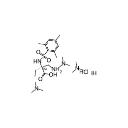 CC[C@@](CN)(NS(=O)(=O)c1c(C)cc(C)cc1C)C(=O)O.CN(C)C.CN(C)C.CN(C)C.Cl.I